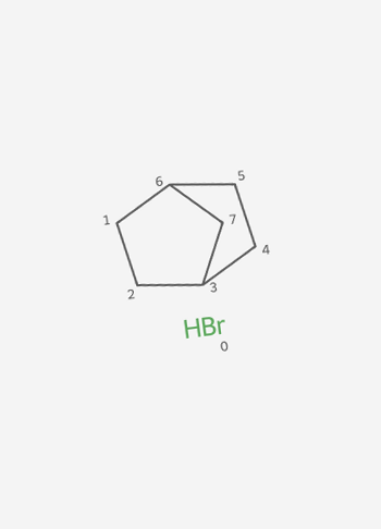 Br.C1CC2CCC1C2